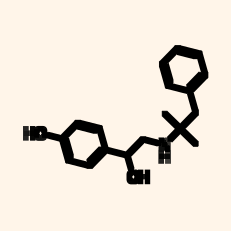 CC(C)(Cc1ccccc1)NCC(O)c1ccc(O)cc1